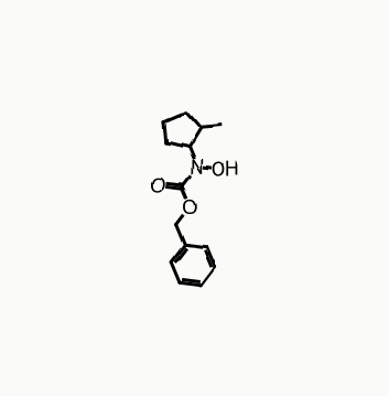 CC1CCCC1N(O)C(=O)OCc1ccccc1